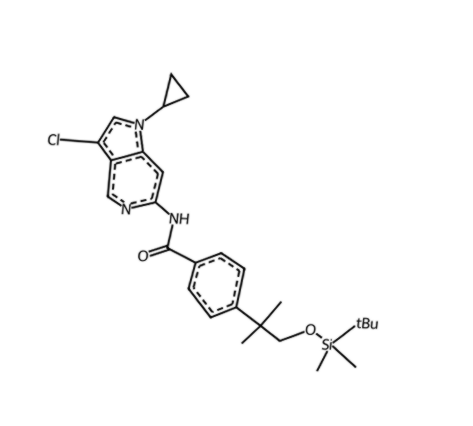 CC(C)(CO[Si](C)(C)C(C)(C)C)c1ccc(C(=O)Nc2cc3c(cn2)c(Cl)cn3C2CC2)cc1